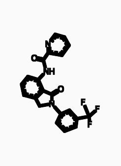 O=C(Nc1cccc2c1C(=O)N(c1cccc(C(F)(F)F)c1)C2)c1ccccn1